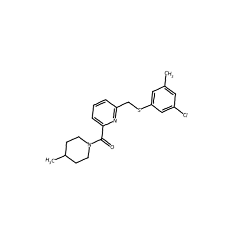 Cc1cc(Cl)cc(SCc2cccc(C(=O)N3CCC(C)CC3)n2)c1